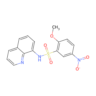 COc1ccc([N+](=O)[O-])cc1S(=O)(=O)Nc1cccc2cccnc12